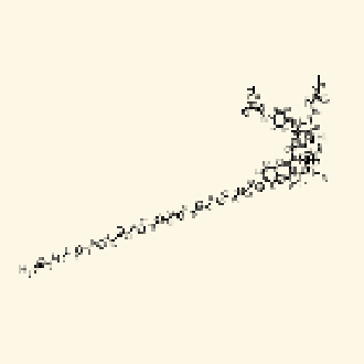 COCCOCCOCCOCCOCCOCCOCCOCCOCCOCCOCCOc1ccc(C[C@@H](C(=O)N[C@H](C(=O)NC(CCCNC(N)=O)C(=O)Nc2ccc(COC(C)=O)cc2)C(C)C)N2C(=O)C=CC2=O)cc1